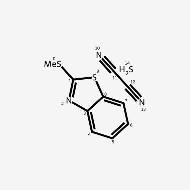 CSc1nc2ccccc2s1.N#CC#N.S